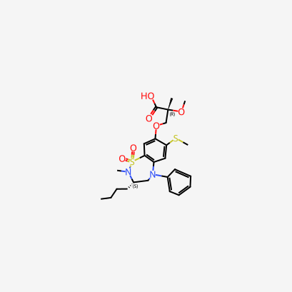 CCCC[C@H]1CN(c2ccccc2)c2cc(SC)c(OC[C@@](C)(OC)C(=O)O)cc2S(=O)(=O)N1C